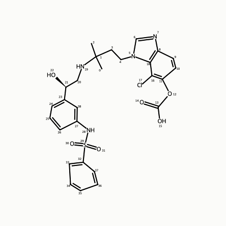 CC(C)(CCn1cnc2ccc(OC(=O)O)c(Cl)c21)NC[C@H](O)c1cccc(NS(=O)(=O)c2ccccc2)c1